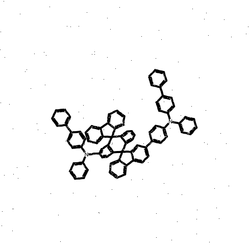 c1ccc(-c2ccc(N(c3ccccc3)c3ccc(-c4ccc5c(c4)C4(c6ccccc6-5)c5ccccc5C5(c6ccccc6-c6ccccc65)c5cc(N(c6ccccc6)c6ccc(-c7ccccc7)cc6)ccc54)cc3)cc2)cc1